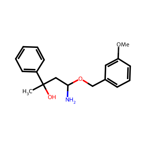 COc1cccc(COC(N)CC(C)(O)c2ccccc2)c1